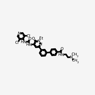 CCn1nc(-c2cccc(-c3ccc(C(=O)NCCN(C)C)cc3)c2)cc(NC(=O)Nc2c(Cl)cncc2Cl)c1=O